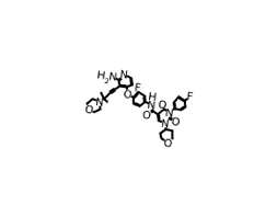 CC(C)(C#Cc1c(Oc2ccc(NC(=O)c3cn(C4CCOCC4)c(=O)n(-c4ccc(F)cc4)c3=O)cc2F)ccnc1N)N1CCOCC1